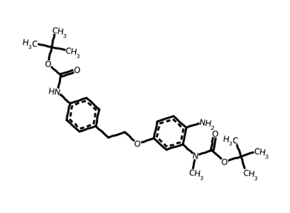 CN(C(=O)OC(C)(C)C)c1cc(OCCc2ccc(NC(=O)OC(C)(C)C)cc2)ccc1N